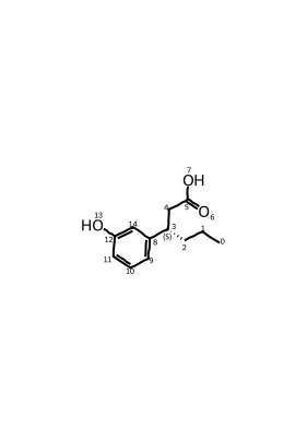 CCC[C@@H](CC(=O)O)c1cccc(O)c1